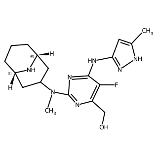 Cc1cc(Nc2nc(N(C)C3C[C@H]4CCC[C@@H](C3)N4)nc(CO)c2F)n[nH]1